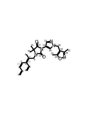 C=C/C=C\C(C=C)=C(/C)CN1C(=O)N(c2cnn(Cc3c(C)noc3C)c2)C(=O)C1(C)C